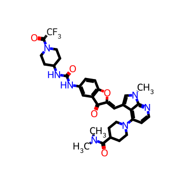 CN(C)C(=O)C1CCN(c2ccnc3c2c(C=C2Oc4ccc(NC(=O)NC5CCN(C(=O)C(F)(F)F)CC5)cc4C2=O)cn3C)CC1